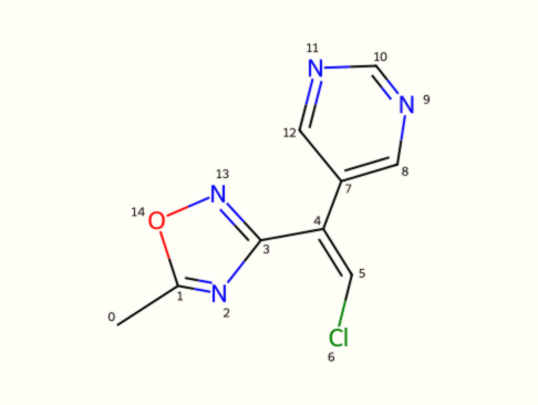 Cc1nc(C(=CCl)c2cncnc2)no1